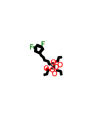 CCC(=O)O[Si](CCCCCc1cc(F)cc(F)c1)(OC(=O)CC)OC(=O)CC